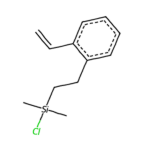 C=Cc1ccccc1CC[Si](C)(C)Cl